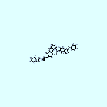 c1ccc(Cn2ncc3cc(Nc4ncnc5sc6c(c45)CCC(CCNCCN4CCCC4)C6)ccc32)cc1